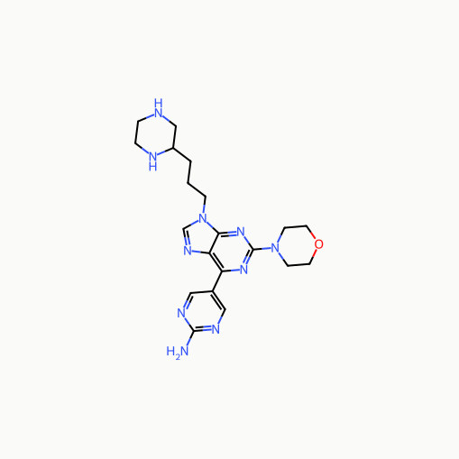 Nc1ncc(-c2nc(N3CCOCC3)nc3c2ncn3CCCC2CNCCN2)cn1